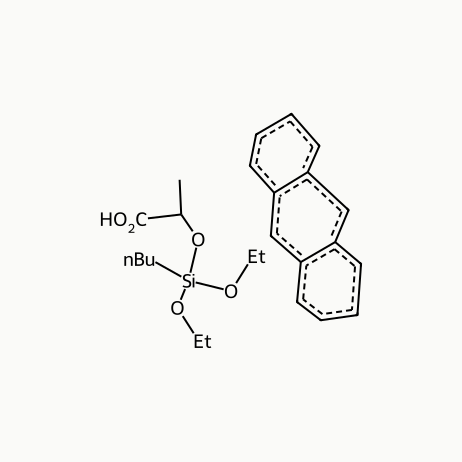 CCCC[Si](OCC)(OCC)OC(C)C(=O)O.c1ccc2cc3ccccc3cc2c1